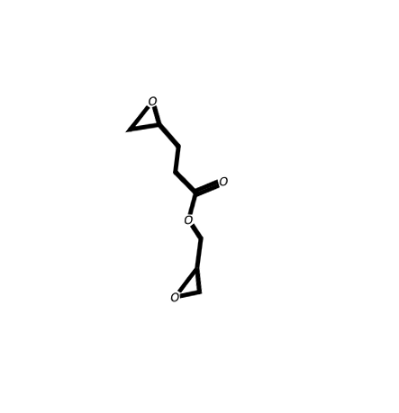 O=C(CCC1CO1)OCC1CO1